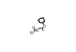 CCC(=O)OCC(C)Oc1ccccc1